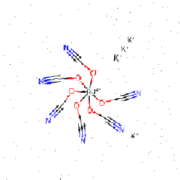 N#C[O][Ru-4]([O]C#N)([O]C#N)([O]C#N)([O]C#N)[O]C#N.[K+].[K+].[K+].[K+]